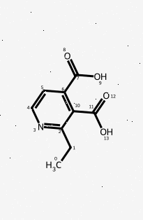 CCc1nccc(C(=O)O)c1C(=O)O